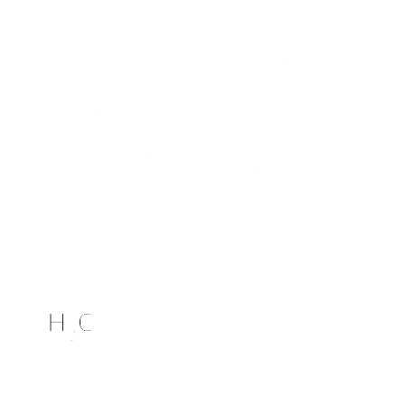 CCC1C=CC1C1CC2C=CC1C2